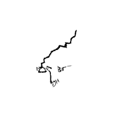 CCCCCCCCCCCCCC1=NCC[N+]1(CC)CCO.[Br-]